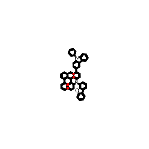 c1ccc(-c2cccc3cccc(-c4ccccc4N(c4ccc(-c5ccc6c(c5)c5ccccc5n6-c5ccccc5)cc4)c4cccc5c4oc4ccccc45)c23)cc1